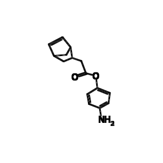 Nc1ccc(OC(=O)CC2CC3C=CC2C3)cc1